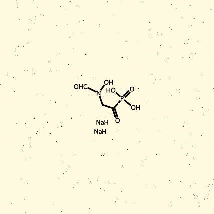 O=CN(O)CC(=O)P(=O)(O)O.[NaH].[NaH]